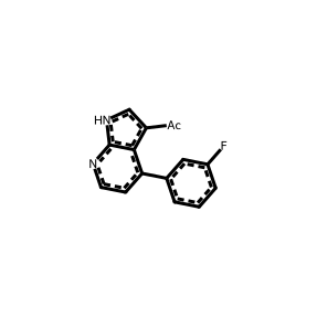 CC(=O)c1c[nH]c2nccc(-c3cccc(F)c3)c12